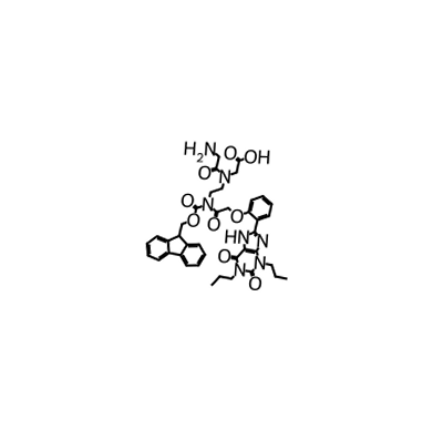 CCCn1c(=O)c2[nH]c(-c3ccccc3OCC(=O)N(CCN(CC(=O)O)C(=O)CN)C(=O)OCC3c4ccccc4-c4ccccc43)nc2n(CCC)c1=O